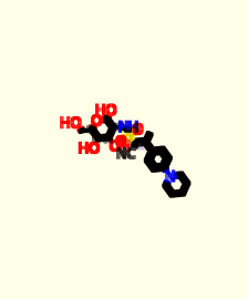 C/C(=C(/C#N)S(=O)(=O)N[C@H]1C(O)O[C@H](CO)[C@@H](O)[C@@H]1O)c1ccc(N2CCCCC2)cc1